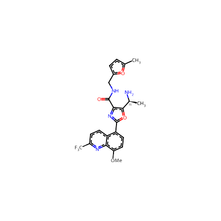 COc1ccc(-c2nc(C(=O)NCc3ccc(C)o3)c([C@H](C)N)o2)c2ccc(C(F)(F)F)nc12